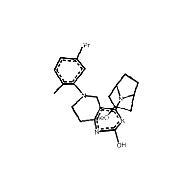 COC1CC2CCC(C1)N2c1nc(O)nc2c1CN(c1cc(C(C)C)ccc1C)CC2